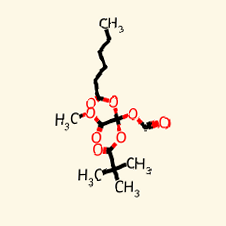 CCCCCC(=O)OC(O[C]=O)(OC(=O)C(C)(C)C)C(=O)OC